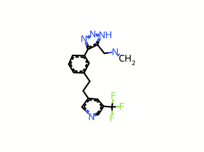 C=NCc1[nH]nnc1-c1cccc(CCc2cncc(C(F)(F)F)c2)c1